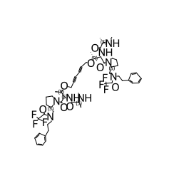 CN[C@@H](C)C(=O)NC(C(=O)N1CCC[C@H]1CN(CCc1ccccc1)C(=O)C(F)(F)F)[C@@H](C)OCC#CC#CCO[C@H](C)[C@H](NC(=O)[C@H](C)NC)C(=O)N1CCC[C@H]1CN(CCCc1ccccc1)C(=O)C(F)(F)F